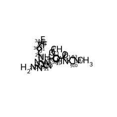 COc1cc(C(=O)NC2CCN(C)CC2)ccc1Cn1ncc2nc(N)nc(NCC3CC4(C3)CC4(F)F)c21